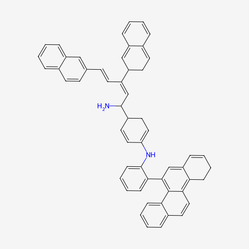 NC(/C=C(\C=C\c1ccc2ccccc2c1)C1C=c2ccccc2=CC1)C1C=CC(Nc2ccccc2-c2cc3c(c4ccc5ccccc5c24)CCC=C3)=CC1